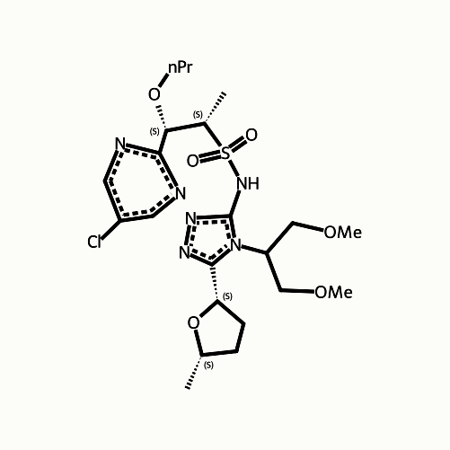 CCCO[C@@H](c1ncc(Cl)cn1)[C@H](C)S(=O)(=O)Nc1nnc([C@@H]2CC[C@H](C)O2)n1C(COC)COC